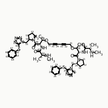 CN[C@@H](C)C(=O)N[C@H](C(=O)N1CCC[C@H]1Cn1nnnc1Sc1ccccc1)C(C)OCC#CC#CCO[C@H](C)[C@H](NC(=O)[C@H](C)NC)C(=O)N1CCCC1Cn1nnnc1Sc1ccccc1